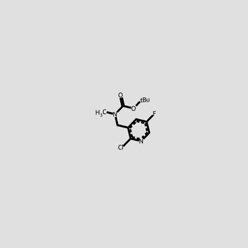 CN(Cc1cc(F)cnc1Cl)C(=O)OC(C)(C)C